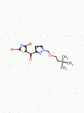 C[Si](C)(C)CCOCn1ccc(C(=O)c2sc(Br)nc2Br)n1